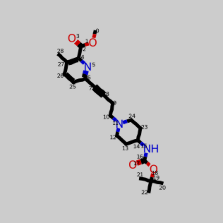 COC(=O)c1nc(C#CCCN2CCC(NC(=O)OC(C)(C)C)CC2)ccc1C